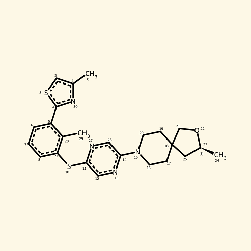 Cc1csc(-c2cccc(Sc3cnc(N4CCC5(CC4)CO[C@@H](C)C5)cn3)c2C)n1